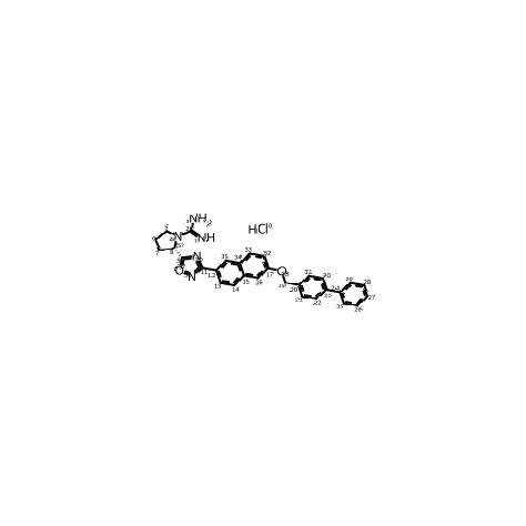 Cl.N=C(N)N1CCC[C@H]1c1nc(-c2ccc3cc(OCc4ccc(-c5ccccc5)cc4)ccc3c2)no1